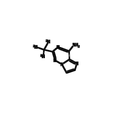 [2H]C([2H])([2H])c1nc(N)c2nccn2n1